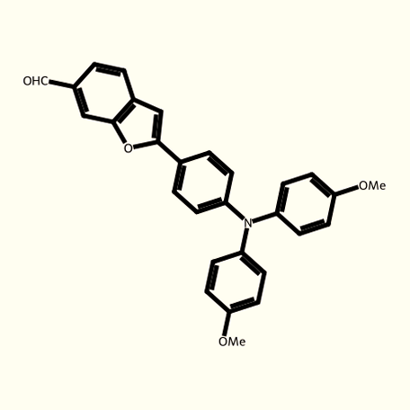 COc1ccc(N(c2ccc(OC)cc2)c2ccc(-c3cc4ccc(C=O)cc4o3)cc2)cc1